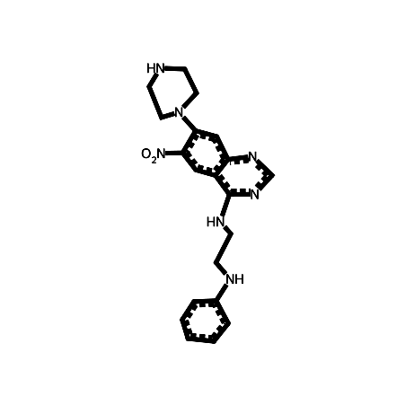 O=[N+]([O-])c1cc2c(NCCNc3ccccc3)ncnc2cc1N1CCNCC1